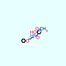 Cn1ccc(C(=O)NCCCCOc2ccccc2)c(O)c1=O